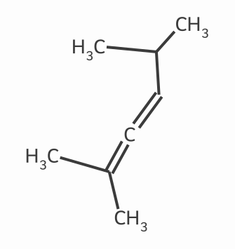 CC(C)=C=CC(C)C